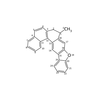 CC1Cc2ccc3ccccc3c2-c2cc3c(cc21)oc1ccccc13